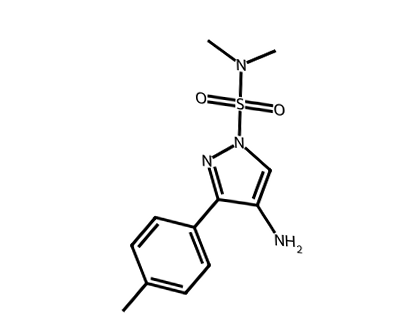 Cc1ccc(-c2nn(S(=O)(=O)N(C)C)cc2N)cc1